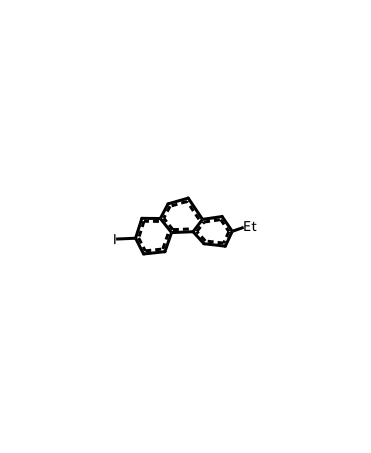 CCc1ccc2c(ccc3cc(I)ccc32)c1